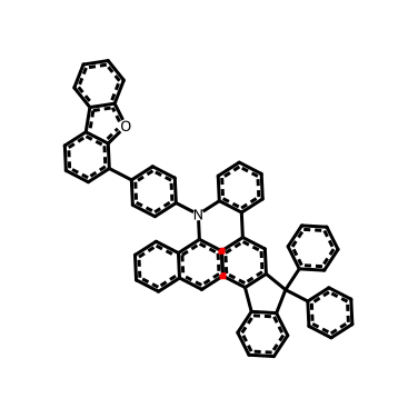 c1ccc(C2(c3ccccc3)c3ccccc3-c3ccc(-c4ccccc4N(c4ccc(-c5cccc6c5oc5ccccc56)cc4)c4cccc5ccccc45)cc32)cc1